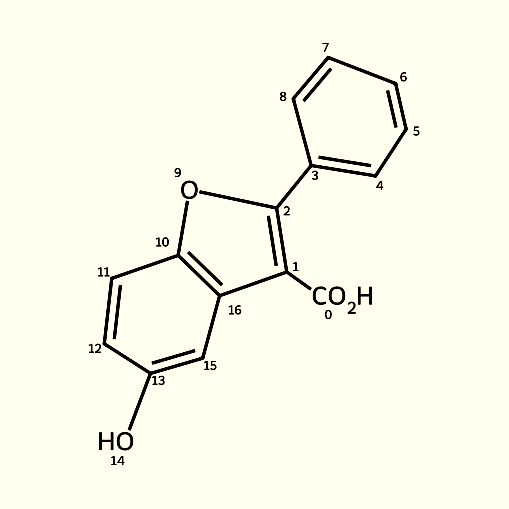 O=C(O)c1c(-c2ccccc2)oc2ccc(O)cc12